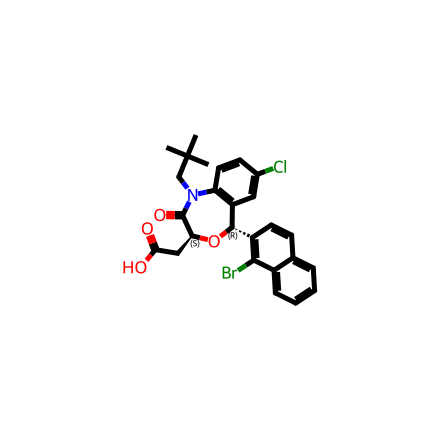 CC(C)(C)CN1C(=O)[C@H](CC(=O)O)O[C@@H](c2ccc3ccccc3c2Br)c2cc(Cl)ccc21